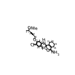 COC(C)C#CCOc1cc(NC(=O)C2=C(C(N)=O)CCCC2)c(F)cc1Cl